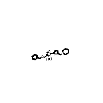 Cl.c1ccc(COCc2noc(-c3ccc(CN4CCCCCC4)s3)n2)cc1